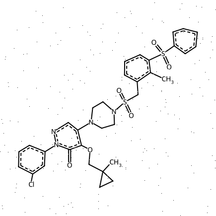 Cc1c(CS(=O)(=O)N2CCN(c3cnn(-c4cccc(Cl)c4)c(=O)c3OCC3(C)CC3)CC2)cccc1S(=O)(=O)c1ccccc1